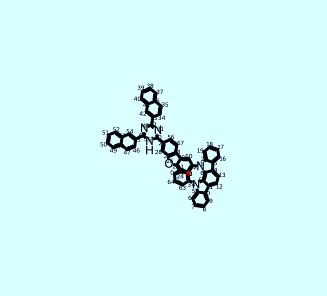 c1ccc(-n2c3ccccc3c3ccc4c5ccccc5n(-c5ccc6oc7cc(C8N=C(c9ccc%10ccccc%10c9)N=C(c9ccc%10ccccc%10c9)N8)ccc7c6c5)c4c32)cc1